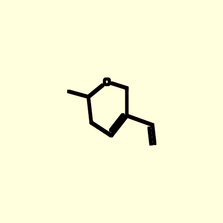 C=CC1=CCC(C)OC1